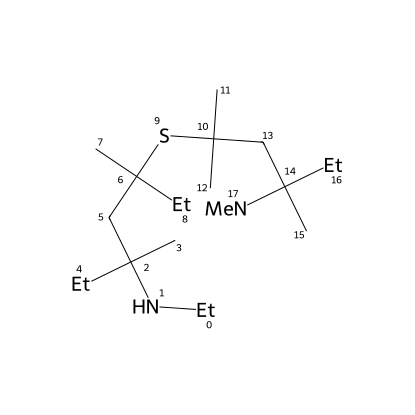 CCNC(C)(CC)CC(C)(CC)SC(C)(C)CC(C)(CC)NC